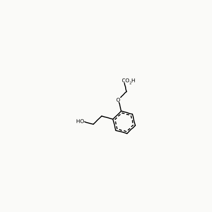 O=C(O)COc1ccccc1CCO